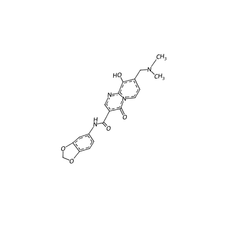 CN(C)Cc1ccn2c(=O)c(C(=O)Nc3ccc4c(c3)OCO4)cnc2c1O